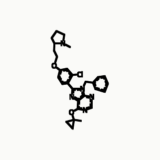 CN1CCCC1CCOc1ccc(-c2nc3c(OC4(C)CC4)ncnc3n2Cc2ccccc2)c(Cl)c1